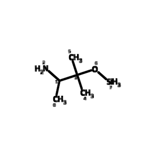 CC(N)C(C)(C)O[SiH3]